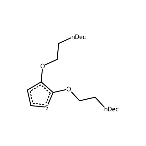 CCCCCCCCCCCCOc1ccsc1OCCCCCCCCCCCC